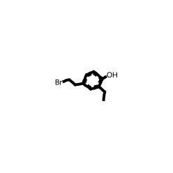 CCc1cc(CCBr)ccc1O